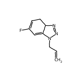 C=CCN1N=NC2CC=C(F)C=C21